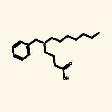 CCCCCCCN(CCCC(=O)O)Cc1ccccc1